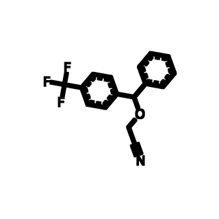 N#CCOC(c1ccccc1)c1ccc(C(F)(F)F)cc1